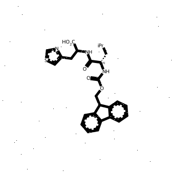 CC(C)C[C@H](NC(=O)OCC1c2ccccc2-c2ccccc21)C(=O)NC(Cc1cscn1)C(=O)O